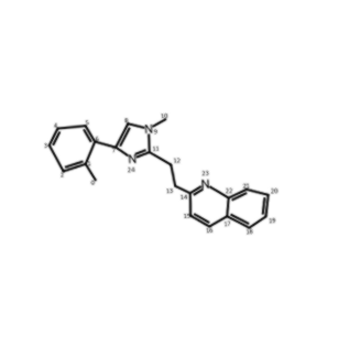 Cc1ccccc1-c1cn(C)c(CCc2ccc3ccccc3n2)n1